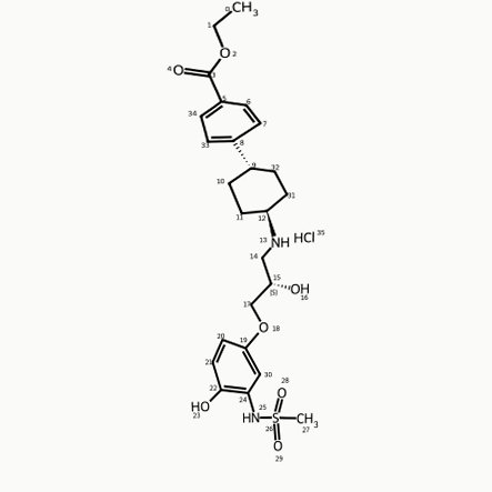 CCOC(=O)c1ccc([C@H]2CC[C@H](NC[C@H](O)COc3ccc(O)c(NS(C)(=O)=O)c3)CC2)cc1.Cl